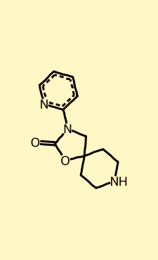 O=C1OC2(CCNCC2)CN1c1ccccn1